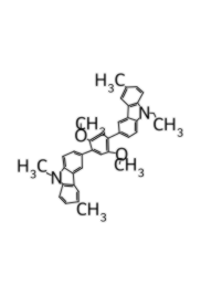 CCn1c2ccc(C)cc2c2cc(-c3cc(OC)c(-c4ccc5c(c4)c4cc(C)ccc4n5CC)cc3OC)ccc21